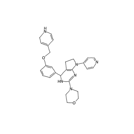 C1=CC(COc2cccc(C3NC(N4CCOCC4)=NC4=C3CCN4c3ccncc3)c2)=CCN1